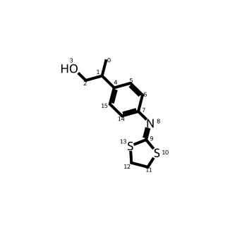 CC(CO)c1ccc(N=C2SCCS2)cc1